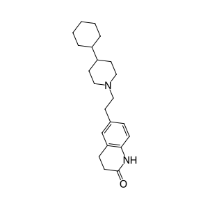 O=C1CCc2cc(CCN3CCC(C4CCCCC4)CC3)ccc2N1